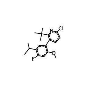 COc1cc(F)c(C(C)C)cc1-c1ccc(Cl)nc1C(C)(C)C